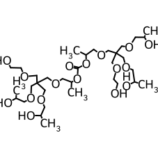 CC(O)COCC(COCCO)(COCC(C)O)COCC(C)OC(=O)OC(C)COCC(COCCO)(COCC(C)O)COCC(C)O